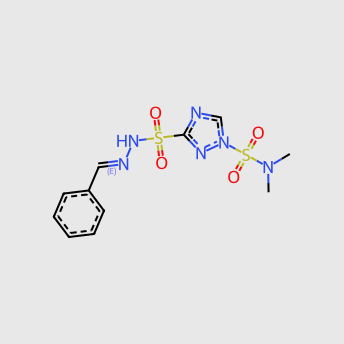 CN(C)S(=O)(=O)n1cnc(S(=O)(=O)N/N=C/c2ccccc2)n1